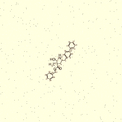 C[C@](CO)(C[C@H](N)Cc1ccc(-c2ccccc2)cc1)C(=O)OCc1ccccc1